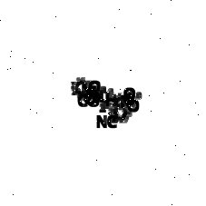 CS(=O)(=O)n1cc(C2CCN(S(=O)(=O)N3CCCC[C@@H]3C(=O)O)CC2)c2cc(C#N)ccc21